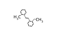 CCc1ccccc1/C=C/c1ccccc1C